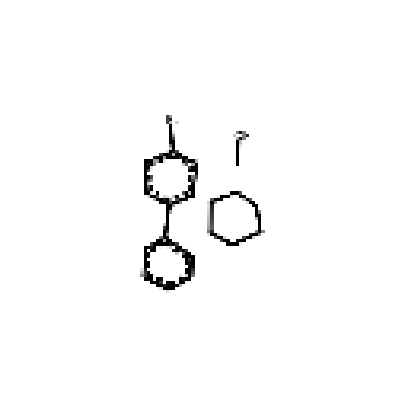 C1CCCCC1.CCc1ccc(-c2ccccc2)cc1.CO